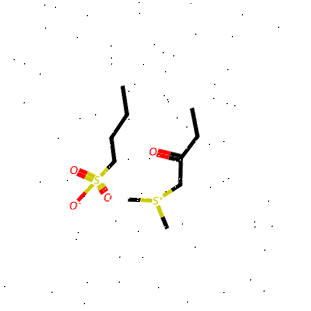 CCC(=O)C[S+](C)C.CCCCS(=O)(=O)[O-]